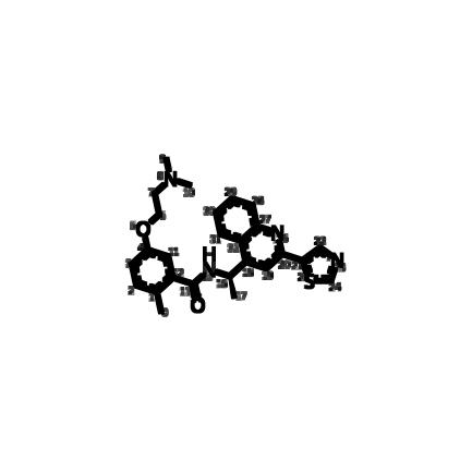 Cc1ccc(OCCN(C)C)cc1C(=O)N[C@H](C)c1cc(-c2cncs2)nc2ccccc12